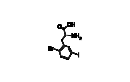 NC(Cc1cc(I)ccc1Br)C(=O)O